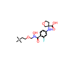 C[Si](C)(C)CCOCN(O)C(=O)c1ccc(N[C@]2(C(=O)O)CCOC2)cc1F